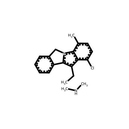 CCc1c2n(c3c(C)ccc(Cl)c13)Cc1ccccc1-2.CNC